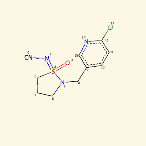 [C-]#[N+]N=S1(=O)CCCN1Cc1ccc(Cl)nc1